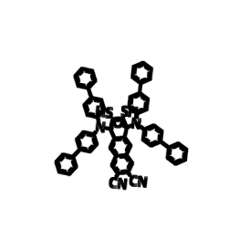 N#Cc1cc2cc3c(cc2cc1C#N)C1(N(c2ccc(-c4ccccc4)cc2)c2ccc(-c4ccccc4)cc2)OC3(N(c2ccc(-c3ccccc3)cc2)c2ccc(-c3ccccc3)cc2)C(S)=C1S